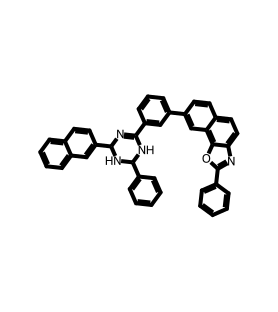 c1ccc(-c2nc3ccc4ccc(-c5cccc(C6=NC(c7ccc8ccccc8c7)NC(c7ccccc7)N6)c5)cc4c3o2)cc1